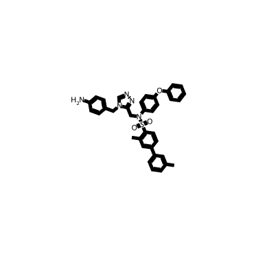 Cc1cccc(-c2ccc(S(=O)(=O)N(Cc3nncn3Cc3ccc(N)cc3)c3ccc(Oc4ccccc4)cc3)c(C)c2)c1